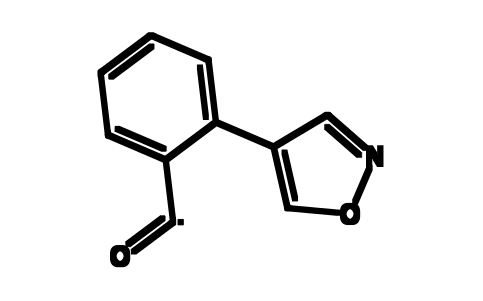 O=[C]c1ccccc1-c1cnoc1